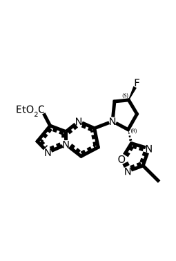 CCOC(=O)c1cnn2ccc(N3C[C@@H](F)C[C@@H]3c3nc(C)no3)nc12